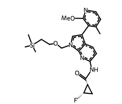 COc1nccc(C)c1-c1cn(COCC[Si](C)(C)C)c2nc(NC(=O)[C@@H]3C[C@@H]3F)ccc12